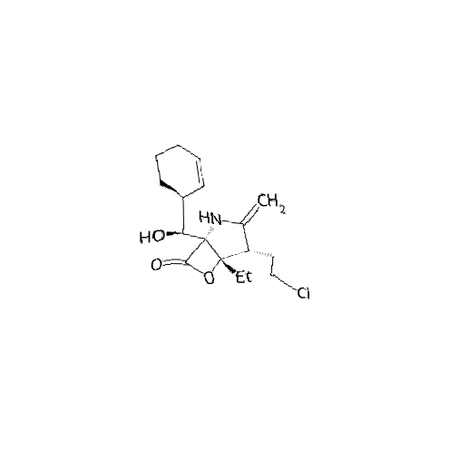 C=C1N[C@@]2([C@@H](O)[C@@H]3C=CCCC3)C(=O)O[C@@]2(CC)[C@H]1CCCl